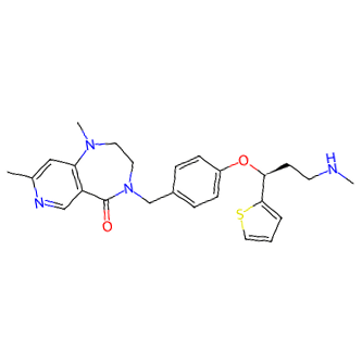 CNCC[C@H](Oc1ccc(CN2CCN(C)c3cc(C)ncc3C2=O)cc1)c1cccs1